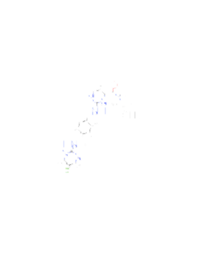 CC1CCN(C(=O)c2ccnc(NCc3ccc(CNc4ncc(F)cn4)cc3)n2)C1